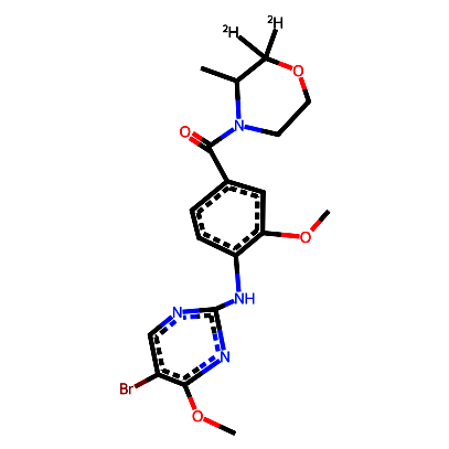 [2H]C1([2H])OCCN(C(=O)c2ccc(Nc3ncc(Br)c(OC)n3)c(OC)c2)C1C